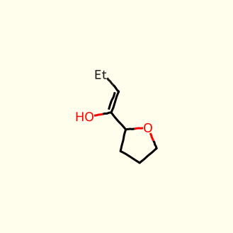 CC/C=C(\O)C1CCCO1